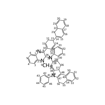 CN1c2ccccc2N=C(C2=CCC(C3=CC=C4C=CC=CC4C3)C=C2)C1n1c2c(c3ccccc31)CC1C(=C2)N(c2ccccc2)C2=C1c1ccccc1CC2